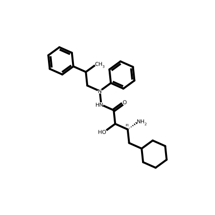 CC(CN(NC(=O)C(O)[C@H](N)CC1CCCCC1)c1ccccc1)c1ccccc1